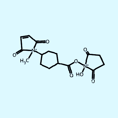 C[N+]1(C2CCC(C(=O)O[N+]3(O)C(=O)CCC3=O)CC2)C(=O)C=CC1=O